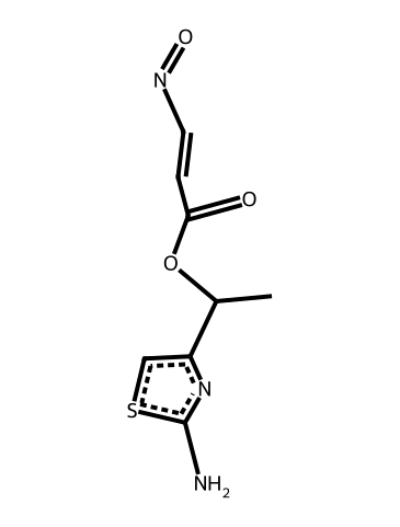 CC(OC(=O)C=CN=O)c1csc(N)n1